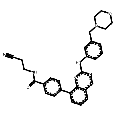 N#CCCNC(=O)c1ccc(-c2cccc3cnc(Nc4cccc(CN5CCOCC5)c4)nc23)cc1